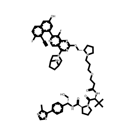 C#Cc1c(F)ccc2cc(O)cc(-c3ncc4c(N5CC6CCC(C5)N6)nc(OC[C@@H]5CCCN5CCCOCCC(=O)N[C@H](C(=O)N5CCC[C@H]5C(=O)N[C@@H](CO)c5ccc(-c6scnc6C)cc5)C(C)(C)C)nc4c3F)c12